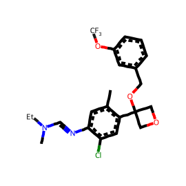 CCN(C)C=Nc1cc(C)c(C2(OCc3cccc(OC(F)(F)F)c3)COC2)cc1Cl